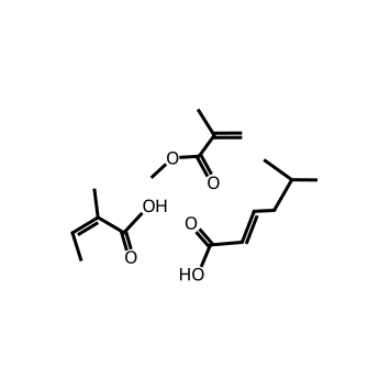 C=C(C)C(=O)OC.CC(C)CC=CC(=O)O.CC=C(C)C(=O)O